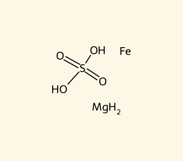 O=S(=O)(O)O.[Fe].[MgH2]